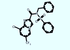 O=C(c1cn2cc(C(F)(F)F)cc(Cl)c2n1)N(Cc1ccccc1)S(=O)(=O)c1ccccc1